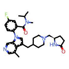 Cc1cncc2c1c(CC1CCN(C[C@H]3CCC(=O)N3)CC1)cn2-c1ccc(F)cc1C(=O)N(C)C(C)C